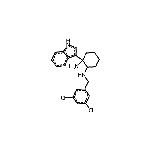 NC1(c2c[nH]c3ccccc23)CCCCC1NCc1cc(Cl)cc(Cl)c1